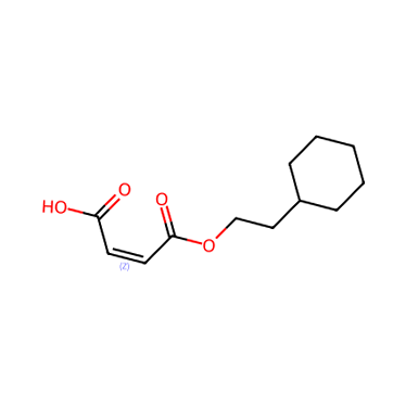 O=C(O)/C=C\C(=O)OCCC1CCCCC1